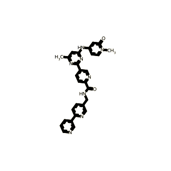 Cc1cc(Nc2ccn(C)c(=O)c2)nc(-c2ccc(C(=O)NCc3ccc(-c4cccnc4)nc3)nc2)n1